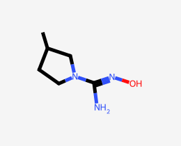 CC1CCN(C(N)=NO)C1